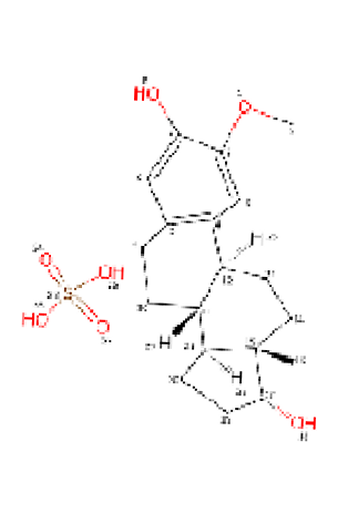 COc1cc2c(cc1O)CC[C@@H]1[C@@H]2CC[C@]2(C)[C@H](O)CC[C@@H]12.O=S(=O)(O)O